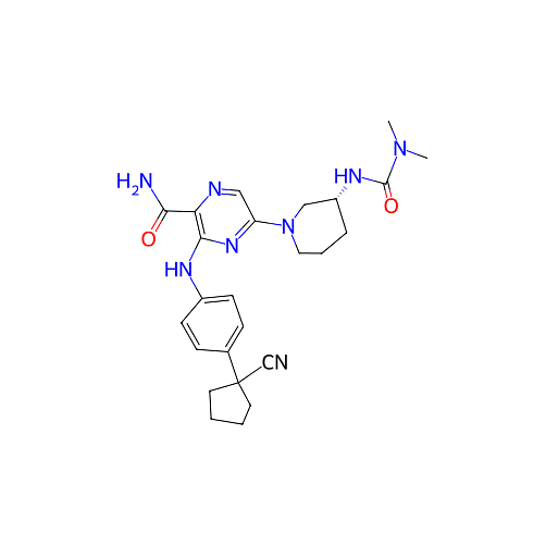 CN(C)C(=O)N[C@@H]1CCCN(c2cnc(C(N)=O)c(Nc3ccc(C4(C#N)CCCC4)cc3)n2)C1